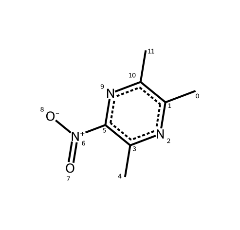 Cc1nc(C)c([N+](=O)[O-])nc1C